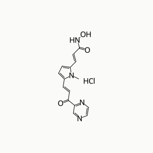 Cl.Cn1c(/C=C/C(=O)NO)ccc1/C=C/C(=O)c1cnccn1